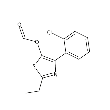 CCc1nc(-c2ccccc2Cl)c(OC=O)s1